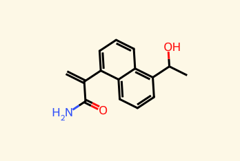 C=C(C(N)=O)c1cccc2c(C(C)O)cccc12